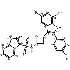 O=S(=O)(N[C@H]1C[C@H](c2c(-c3ccc(F)cc3)[nH]c3c(F)cc(F)cc32)C1)c1n[nH]c2ncccc12